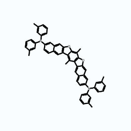 Cc1cccc(N(c2cccc(C)c2)c2ccc3cc4c(cc3c2)oc2c(C)c3oc5cc6cc(N(c7cccc(C)c7)c7cccc(C)c7)ccc6cc5c3c(C)c24)c1